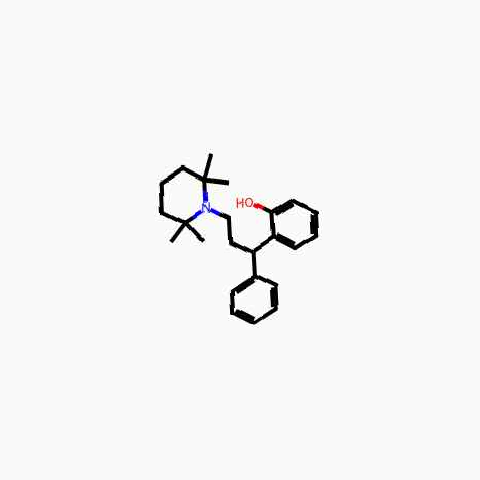 CC1(C)CCCC(C)(C)N1CCC(c1ccccc1)c1ccccc1O